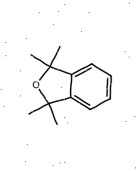 CC1(C)OC(C)(C)c2ccccc21